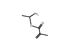 C=C(C)C(=O)OC(C)P